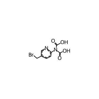 O=C(O)N(C(=O)O)c1ccc(CBr)cn1